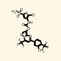 Cc1cc(-c2cc(C(F)(F)F)n3ncc(OC(=O)Nc4cc(S(N)(=O)=O)sc4Cl)c3n2)ccc1C(F)(F)F